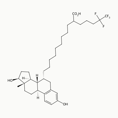 C[C@]12CC[C@@H]3c4ccc(O)cc4C[C@@H](CCCCCCCCCC(CCCC(F)(F)C(F)(F)F)C(=O)O)[C@H]3[C@@H]1CC[C@@H]2O